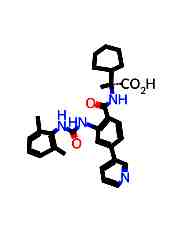 Cc1cccc(C)c1NC(=O)Nc1cc(-c2cccnc2)ccc1C(=O)N[C@](C)(C(=O)O)C1CCCCC1